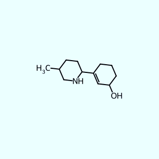 CC1CCC(C2=CC(O)CCC2)NC1